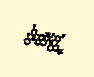 C[Si](C)(C)c1cccc(-c2cc(F)cc(F)c2N(c2ccccc2)c2ccc3ccc4c(N(c5ccccc5)c5c(F)cc(F)cc5-c5cccc([Si](C)(C)C)c5)ccc5ccc2c3c54)c1